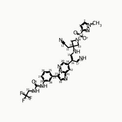 Cn1ccc(S(=O)(=O)N2CC(CC#N)(N/C=C(\C=N)c3cnn4c(-c5cccc(NC(=O)NCC(F)(F)F)c5)cnc4c3)C2)n1